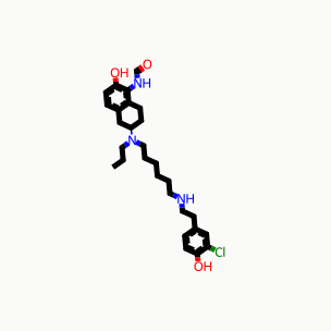 CCCN(CCCCCCNCCc1ccc(O)c(Cl)c1)[C@H]1CCc2c(ccc(O)c2NC=O)C1